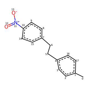 Cc1ccc([CH]Cc2ccc([N+](=O)[O-])cc2)cc1